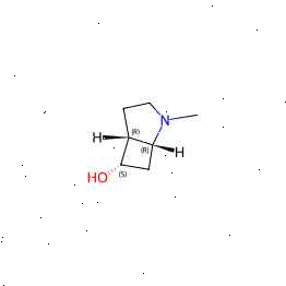 CN1CC[C@@H]2[C@H]1C[C@@H]2O